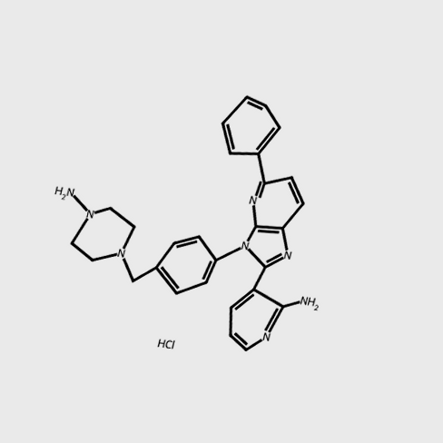 Cl.Nc1ncccc1-c1nc2ccc(-c3ccccc3)nc2n1-c1ccc(CN2CCN(N)CC2)cc1